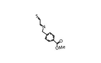 COC(=O)c1ccc(CN=CC=S)cc1